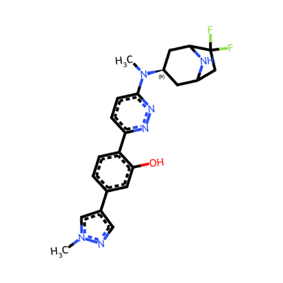 CN(c1ccc(-c2ccc(-c3cnn(C)c3)cc2O)nn1)[C@@H]1CC2CC(F)(F)C(C1)N2